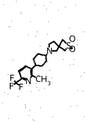 Cc1nc(C(F)(F)F)ccc1C1CCC(N2CCC3(C2)CS(=O)(=O)C3)CC1